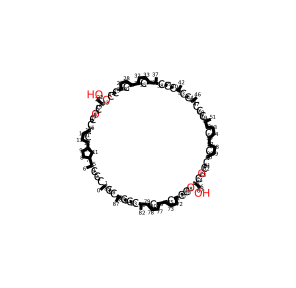 CC1CCCC(C)C2CCC(C2)C2CCC(CCOCC(CO)OCCC3CCC(C3)C3CCC(C3)C(C)CCCC(C)CCC(C)CCCC(C)C3CCC(C3)C3CCC(CCOCC(CO)OCCC4CCC(C4)C4CCC(C4)C(C)CCCC(C)CC1)C3)C2